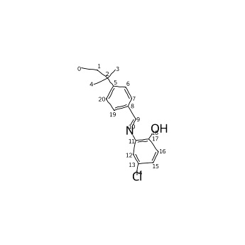 CCC(C)(C)c1ccc(C=Nc2cc(Cl)ccc2O)cc1